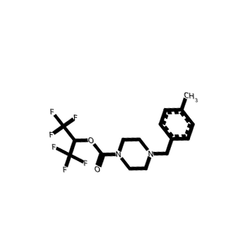 Cc1ccc(CN2CCN(C(=O)OC(C(F)(F)F)C(F)(F)F)CC2)cc1